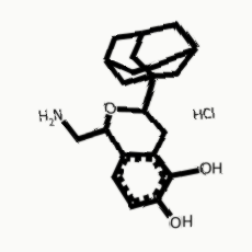 Cl.NCC1OC(C23CC4CC(CC(C4)C2)C3)Cc2c1ccc(O)c2O